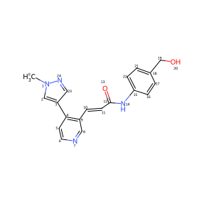 Cn1cc(-c2ccncc2C=CC(=O)Nc2ccc(CO)cc2)cn1